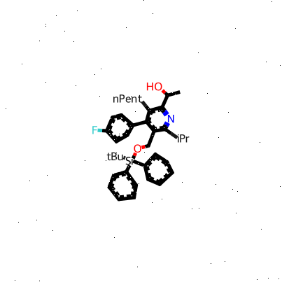 CCCCCc1c(C(C)O)nc(C(C)C)c(CO[Si](c2ccccc2)(c2ccccc2)C(C)(C)C)c1-c1ccc(F)cc1